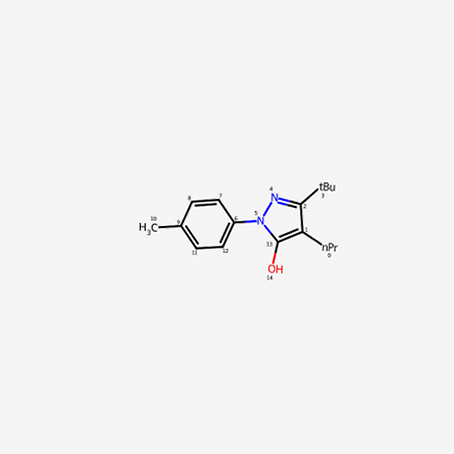 CCCc1c(C(C)(C)C)nn(-c2ccc(C)cc2)c1O